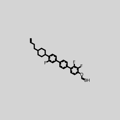 B=COc1ccc(-c2ccc(-c3ccc(C4CCC(CCC=C)CC4)c(F)c3)cc2)c(F)c1F